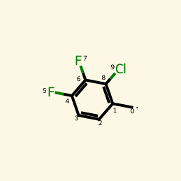 [CH2]c1ccc(F)c(F)c1Cl